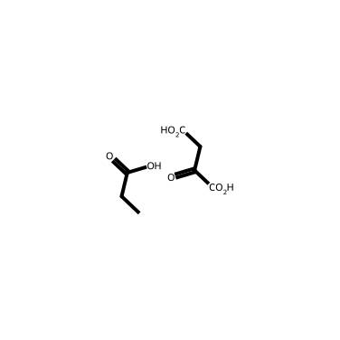 CCC(=O)O.O=C(O)CC(=O)C(=O)O